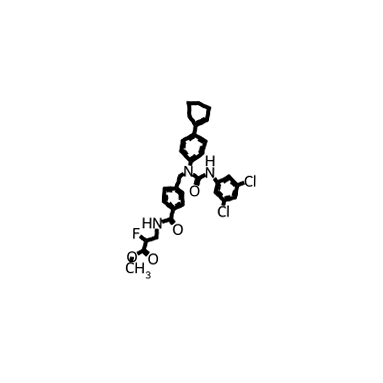 COC(=O)C(F)CNC(=O)c1ccc(CN(C(=O)Nc2cc(Cl)cc(Cl)c2)c2ccc(C3=CCCCC3)cc2)cc1